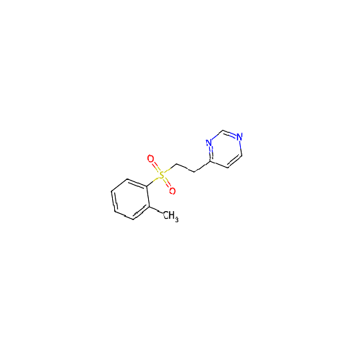 Cc1ccccc1S(=O)(=O)CCc1ccncn1